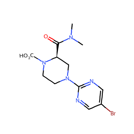 CN(C)C(=O)[C@H]1CN(c2ncc(Br)cn2)CCN1C(=O)O